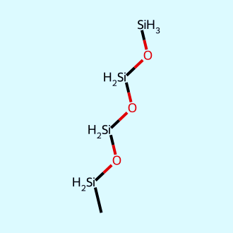 C[SiH2]O[SiH2]O[SiH2]O[SiH3]